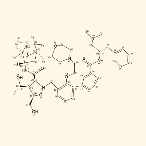 C[C@@H]1[C@@H](NC(=O)[C@@H]2[C@H]([C@H](C)O)[C@H](CO)ON2Cc2cccc(-c3cccc(C(=O)N[C@@H](Cc4ccccc4)CN(C)C)c3)c2OCCN2CCOCC2)C[C@H]2C[C@@H]1C2(C)C